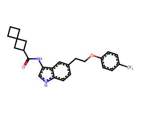 O=C(Nc1c[nH]c2ccc(CCOc3ccc(C(F)(F)F)cc3)cc12)C1CC2(CCC2)C1